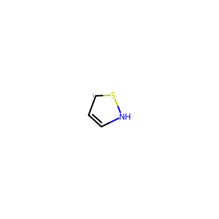 [C]1C=CNS1